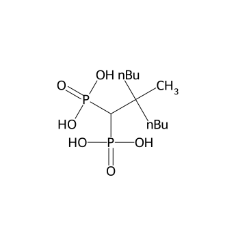 CCCCC(C)(CCCC)C(P(=O)(O)O)P(=O)(O)O